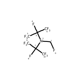 FCN(C(F)(C(F)(F)F)C(F)(F)F)C(F)(C(F)(F)F)C(F)(F)F